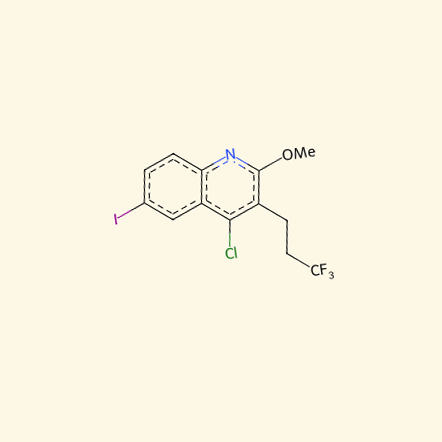 COc1nc2ccc(I)cc2c(Cl)c1CCC(F)(F)F